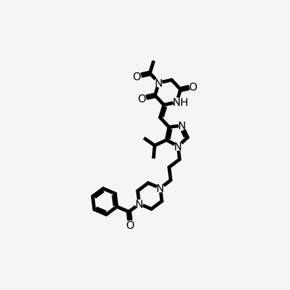 CC(=O)N1CC(=O)N/C(=C\c2ncn(CCCN3CCN(C(=O)c4ccccc4)CC3)c2C(C)C)C1=O